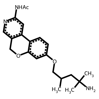 CC(=O)Nc1cc2c(cn1)COc1cc(OCC(C)CC(C)(C)N)ccc1-2